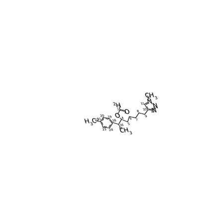 [2H]C(=O)OC(CCCCCc1cn(C)nn1)C(C)c1ccc(C)cc1